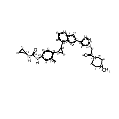 CN1CCN(C(=O)Cn2cc(-c3cc4nccc(C5CC5c5ccc(NC(=O)NC6CC6)cc5F)c4s3)nn2)CC1